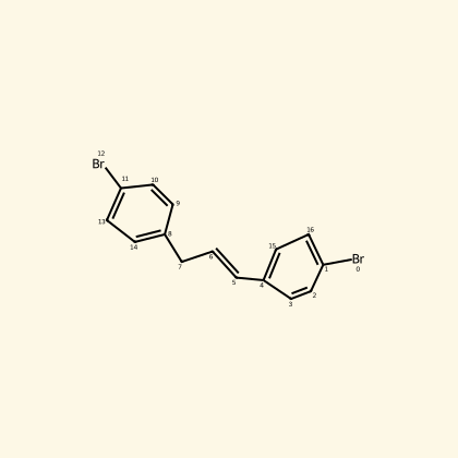 Brc1ccc(/C=C/Cc2ccc(Br)cc2)cc1